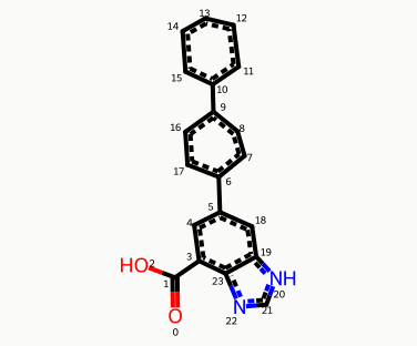 O=C(O)c1cc(-c2ccc(-c3ccccc3)cc2)cc2[nH]cnc12